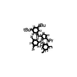 Cc1cc(C)cc([SiH](C2=[C]([Ti][c]3cc(C(C)(C)C)cc(C(C)(C)C)c3)CC=C2C(C)C)c2cc(C)cc(C)c2)c1